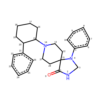 O=C1NCN(c2ccccc2)C12CCN(C1CCCCC1c1ccccc1)CC2